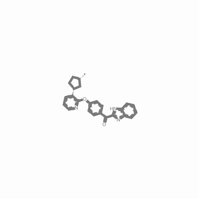 C[C@H]1CC[C@@H](c2cccnc2Oc2ccc(C(=O)c3nc4ccccc4[nH]3)cc2)C1